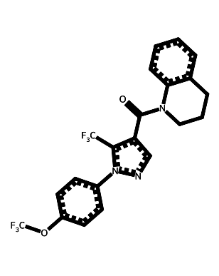 O=C(c1cnn(-c2ccc(OC(F)(F)F)cc2)c1C(F)(F)F)N1CCCc2ccccc21